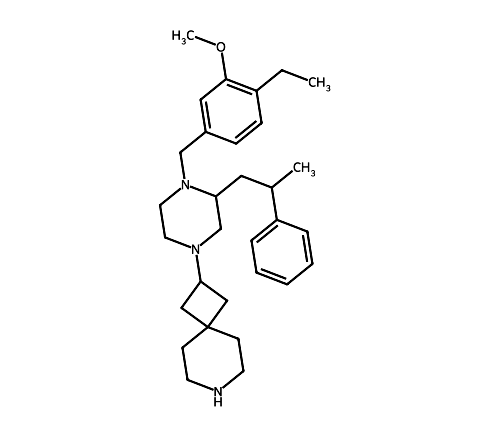 CCc1ccc(CN2CCN(C3CC4(CCNCC4)C3)CC2CC(C)c2ccccc2)cc1OC